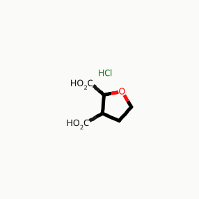 Cl.O=C(O)C1CCOC1C(=O)O